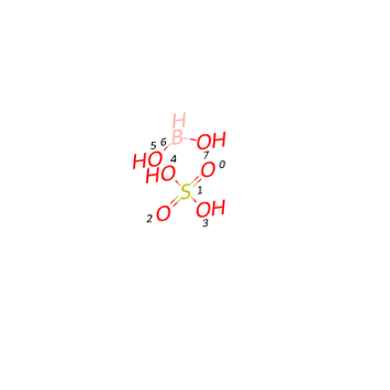 O=S(=O)(O)O.OBO